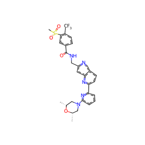 C[C@@H]1CN(c2cccc(-c3ccc4cnc(CNC(=O)c5ccc(C(F)(F)F)c(S(C)(=O)=O)c5)cc4n3)n2)C[C@H](C)O1